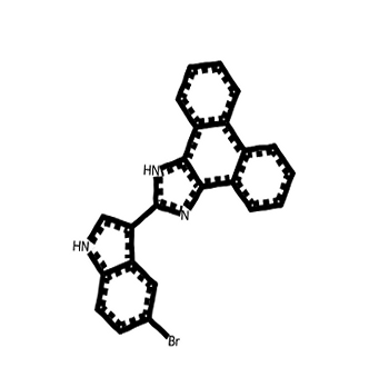 Brc1ccc2[nH]cc(-c3nc4c5ccccc5c5ccccc5c4[nH]3)c2c1